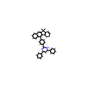 CC1(C)C2=C(CCC=C2)c2c1cc1ccccc1c2-c1ccc(C2=NC(c3ccccc3)=CC(c3ccccc3)N2)cc1